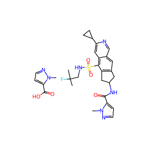 Cn1nccc1C(=O)NC1Cc2cc3cnc(C4CC4)cc3c(S(=O)(=O)NCC(C)(C)F)c2C1.Cn1nccc1C(=O)O